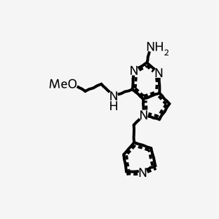 COCCNc1nc(N)nc2ccn(Cc3ccncc3)c12